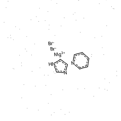 [Br-].[Br-].[Mg+2].c1c[nH]cn1.c1ccncc1